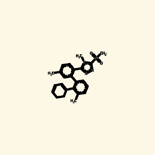 [CH2]S(=O)(=O)c1nnc(-c2ccc(C)cc2-c2cccc(C)c2C2=CC=CCC2)n1C